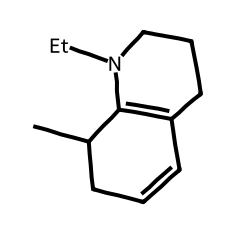 CCN1CCCC2=C1C(C)CC=C2